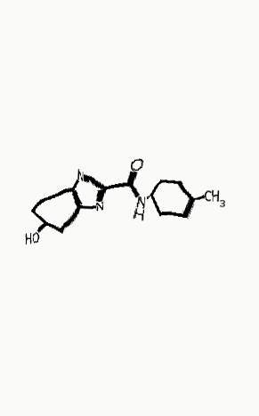 C[C@H]1CC[C@H](NC(=O)c2cnc3c(n2)CC(O)CC3)CC1